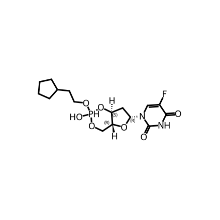 O=c1[nH]c(=O)n([C@H]2C[C@@H]3O[PH](O)(OCCC4CCCC4)OC[C@H]3O2)cc1F